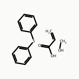 C=CC(=O)O.CO.c1ccc(Sc2ccccc2)cc1